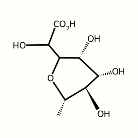 C[C@@H]1OC(C(O)C(=O)O)[C@H](O)[C@H](O)[C@H]1O